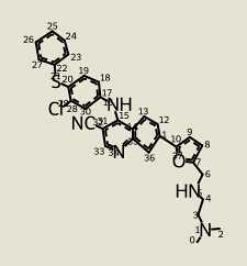 CN(C)CCNCc1ccc(-c2ccc3c(Nc4ccc(Sc5ccccc5)c(Cl)c4)c(C#N)cnc3c2)o1